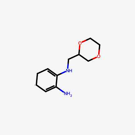 NC1=C[CH]CC=C1NCC1COCCO1